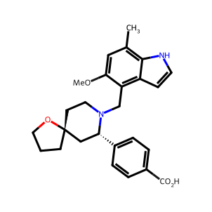 COc1cc(C)c2[nH]ccc2c1CN1CC[C@]2(CCCO2)C[C@H]1c1ccc(C(=O)O)cc1